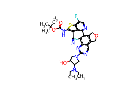 CCN(CC)C1CN(c2ncc3c4c(c(-c5ncc(F)c6sc(NC(=O)OC(C)(C)C)c(C#N)c56)c(F)c3n2)COC4)CC1O